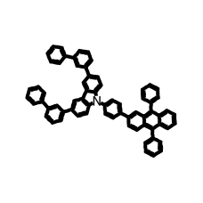 c1ccc(-c2cccc(-c3ccc4c(c3)c3cc(-c5cccc(-c6ccccc6)c5)ccc3n4-c3ccc(-c4ccc5c(-c6ccccc6)c6ccccc6c(-c6ccccc6)c5c4)cc3)c2)cc1